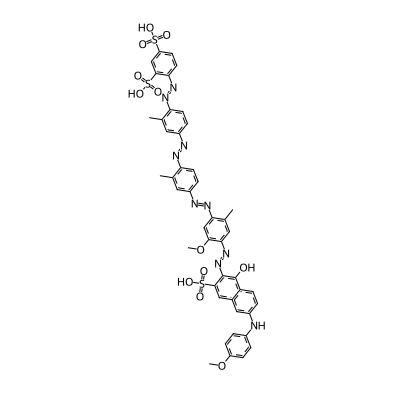 COc1ccc(Nc2ccc3c(O)c(N=Nc4cc(C)c(N=Nc5ccc(N=Nc6ccc(N=Nc7ccc(S(=O)(=O)O)cc7S(=O)(=O)O)c(C)c6)c(C)c5)cc4OC)c(S(=O)(=O)O)cc3c2)cc1